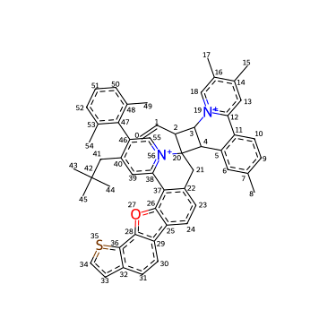 C=CC1C2C(c3cc(C)ccc3-c3cc(C)c(C)c[n+]32)C12Cc1ccc3c(oc4c3ccc3ccsc34)c1-c1cc(CC(C)(C)C)c(-c3c(C)cccc3C)c[n+]12